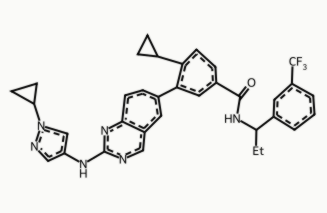 CCC(NC(=O)c1ccc(C2CC2)c(-c2ccc3nc(Nc4cnn(C5CC5)c4)ncc3c2)c1)c1cccc(C(F)(F)F)c1